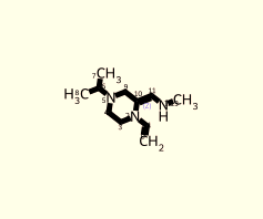 C=CN1CCN(C(C)C)C/C1=C/NC